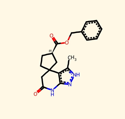 Cc1[nH]nc2c1C1(CC[C@@H](C(=O)OCc3ccccc3)C1)CC(=O)N2